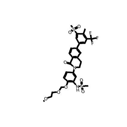 COCCOCOc1ccc(N2CCc3cc(-c4cc(C(F)(F)F)c(C)c(S(C)(=O)=O)c4)ccc3C2=O)cc1NS(C)(=O)=O